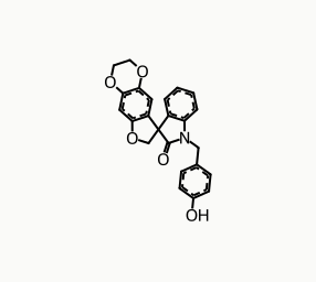 O=C1N(Cc2ccc(O)cc2)c2ccccc2C12COc1cc3c(cc12)OCCO3